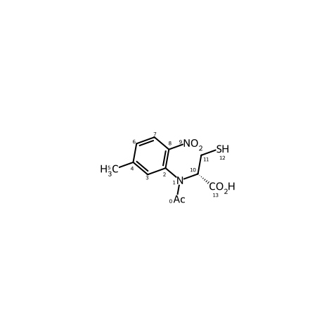 CC(=O)N(c1cc(C)ccc1[N+](=O)[O-])[C@H](CS)C(=O)O